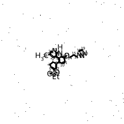 CCS(=O)(=O)C1=CCCC(c2ccc(OCCCn3ccnn3)c3[nH]c4ncc(C)cc4c23)=C1